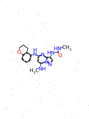 CNC(=O)Nc1cnn2c(NC)cc(Nc3cccc4c3CCCO4)nc12